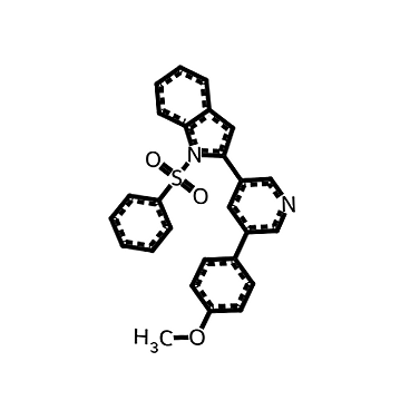 COc1ccc(-c2cncc(-c3cc4ccccc4n3S(=O)(=O)c3ccccc3)c2)cc1